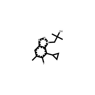 Cc1cc2nnn(CC(C)(C)O)c2c(C2CC2)c1F